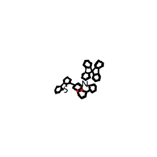 c1ccc(-c2ccccc2N(c2cccc(-c3cccc4c3sc3ccccc34)c2)c2ccc3c(c2)C2(c4ccccc4-c4ccccc42)c2ccccc2-3)cc1